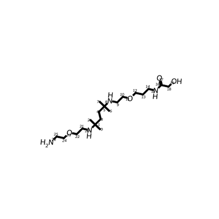 CC(C)(CCC(C)(C)NCCOCCCNC(=O)CO)NCCOCCN